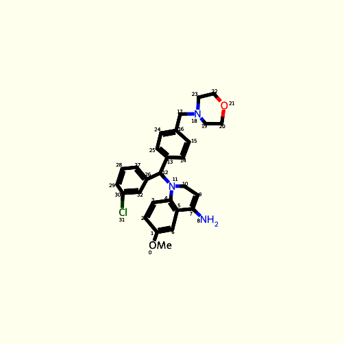 COc1ccc2c(c1)C(N)=CCN2C(c1ccc(CN2CCOCC2)cc1)c1cccc(Cl)c1